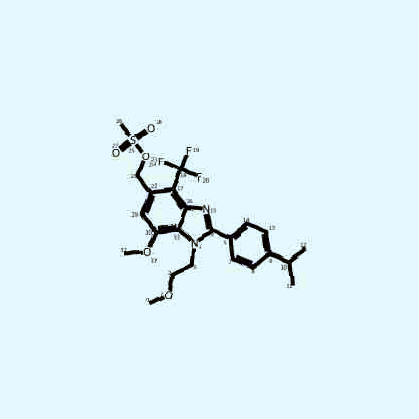 COCCn1c(-c2ccc(C(C)C)cc2)nc2c(C(F)(F)F)c(COS(C)(=O)=O)cc(OC)c21